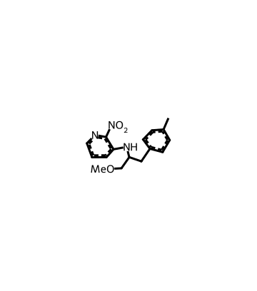 COCC(Cc1ccc(C)cc1)Nc1cccnc1[N+](=O)[O-]